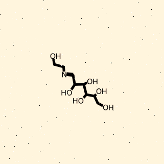 OCCN=CC(O)C(O)C(O)C(O)CO